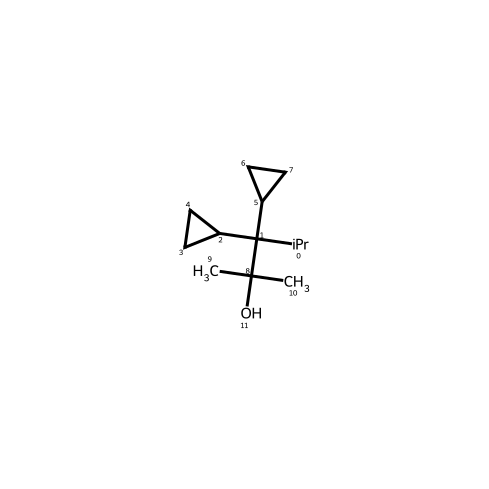 CC(C)C(C1CC1)(C1CC1)C(C)(C)O